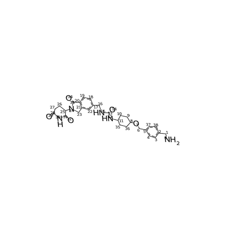 NCc1ccc(COC2CCC(NC(=O)NCc3ccc4c(c3)CN(C3CCC(=O)NC3=O)C4=O)CC2)cc1